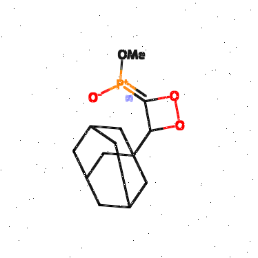 CO/[P+]([O-])=C1\OOC1C12CC3CC(CC(C3)C1)C2